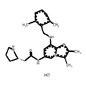 Cc1cccc(C)c1CNc1cc(NC(=O)C[C@@H]2CCCN2)cn2c(C)c(C)nc12.Cl